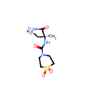 CC[C@](C)(NC(=O)N1CCS(=O)(=O)CC1)C(N)=O